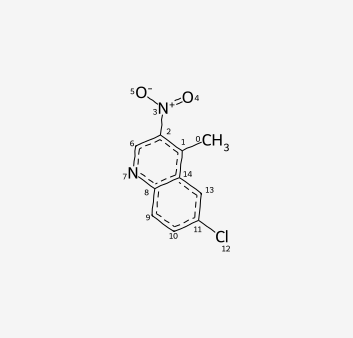 Cc1c([N+](=O)[O-])cnc2ccc(Cl)cc12